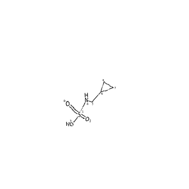 O=S(=O)(O)NCC1CC1